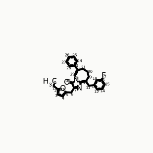 CCc1ccc(CC2=N/C3=C(\Cc4cccc(F)c4)CCC/C(c4ccccc4)=C\N3C2=O)o1